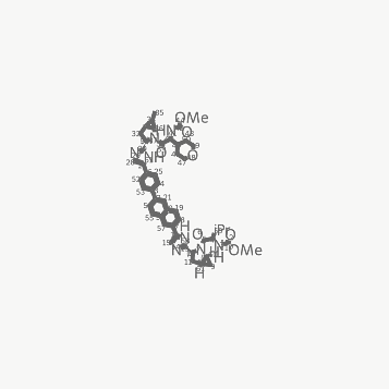 COC(=O)NC(C(=O)N1[C@@H]2C[C@@H]2C[C@H]1c1ncc(-c2ccc3cc(-c4ccc(-c5cnc([C@@H]6CC7C(C)C7N6C(=O)C(NC(=O)OC)C6CCOCC6)[nH]5)cc4)ccc3c2)[nH]1)C(C)C